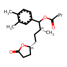 Cc1ccc(C(OC(=O)C(C)C)[C@H](C)CC[C@@H]2CCC(=O)O2)cc1C